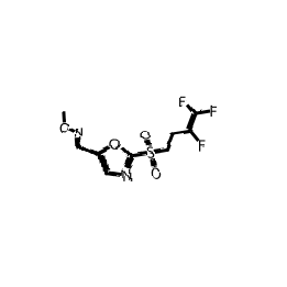 CON=Cc1cnc(S(=O)(=O)CCC(F)=C(F)F)o1